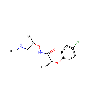 CC(CNC(=O)O)ONC(=O)[C@H](C)Oc1ccc(Cl)cc1